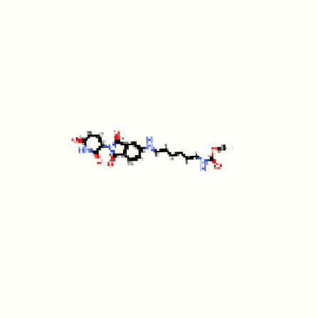 CC(C)(C)OC(=O)NCCCCCCNc1ccc2c(c1)C(=O)N(C1CCC(=O)NC1=O)C2=O